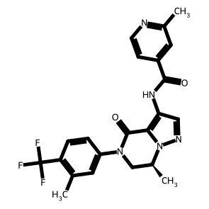 Cc1cc(C(=O)Nc2cnn3c2C(=O)N(c2ccc(C(F)(F)F)c(C)c2)C[C@@H]3C)ccn1